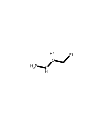 CCCOPP.[H+]